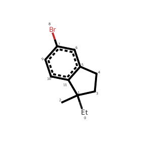 CCC1(C)CCc2cc(Br)ccc21